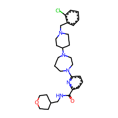 O=C(NCC1CCOCC1)c1cccc(N2CCCN(C3CCN(Cc4ccccc4Cl)CC3)CC2)n1